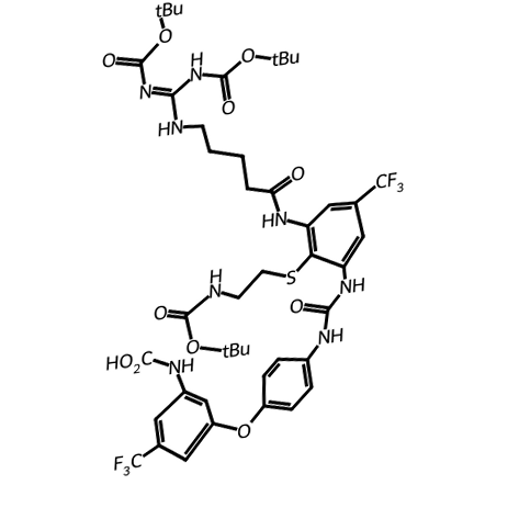 CC(C)(C)OC(=O)N=C(NCCCCC(=O)Nc1cc(C(F)(F)F)cc(NC(=O)Nc2ccc(Oc3cc(NC(=O)O)cc(C(F)(F)F)c3)cc2)c1SCCNC(=O)OC(C)(C)C)NC(=O)OC(C)(C)C